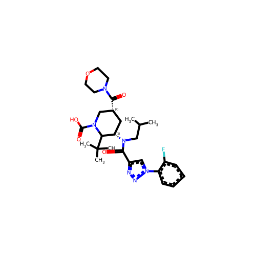 CC(C)CN(C(=O)c1cn(-c2ccccc2F)nn1)[C@H]1C[C@@H](C(=O)N2CCOCC2)CN(C(=O)O)C1C(C)(C)C